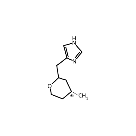 C[C@@H]1CCOC(Cc2c[nH]cn2)C1